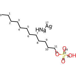 CCCCCCCCCCCCOS(=O)(=O)O.[Ag].[NaH]